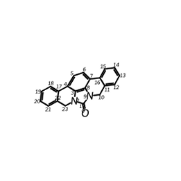 O=c1n2c3c(ccc4c3n1Cc1ccccc1-4)-c1ccccc1C2